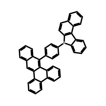 c1ccc2c(-c3ccc(-n4c5ccccc5c5c6ccccc6ccc54)cc3)c3c4ccccc4c4ccccc4c3cc2c1